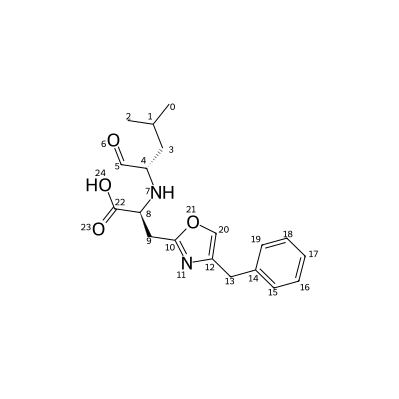 CC(C)C[C@@H](C=O)N[C@@H](Cc1nc(Cc2ccccc2)co1)C(=O)O